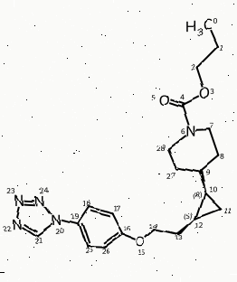 CCCOC(=O)N1CCC([C@H]2C[C@H]2CCOc2ccc(-n3cnnn3)cc2)CC1